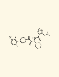 Cc1cc[n+]([O-])c(C)c1-c1ccc(NC(=O)[C@@H](NC(=O)c2conc2CN(C)C)C2CCCCC2)cc1